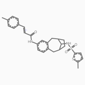 Cc1ccc(/C=C/C(=O)Nc2ccc3c(c2)CC2CCC(C3)C2NS(=O)(=O)c2ccc(C)s2)cc1